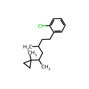 CC(CCc1ccccc1Cl)CC(C)C1(C)CC1